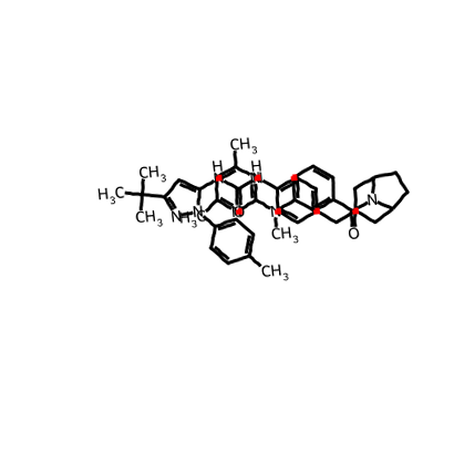 Cc1ccc(-n2nc(C(C)(C)C)cc2NC(=O)Nc2ccc(CC3CC4CCC(C3)N4C(=O)c3cccc(N(C)c4nc(C)cc(C)n4)c3)cc2)cc1